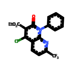 CCOC(=O)c1c(Cl)c2ccc(C(F)(F)F)nc2n(-c2ccccc2)c1=O